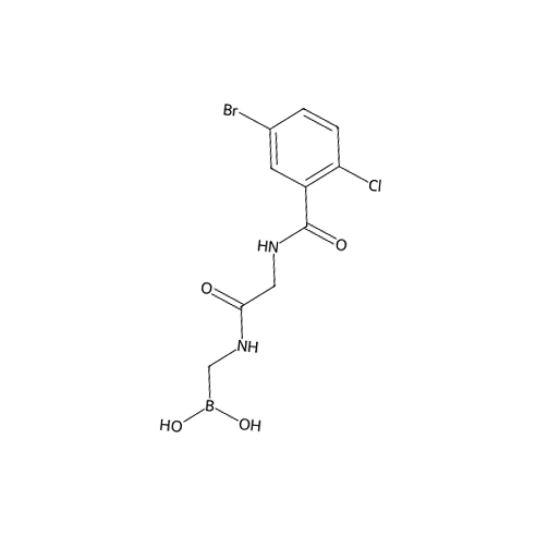 O=C(CNC(=O)c1cc(Br)ccc1Cl)NCB(O)O